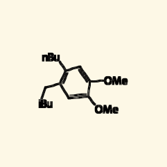 CCCCc1cc(OC)c(OC)cc1CC(C)CC